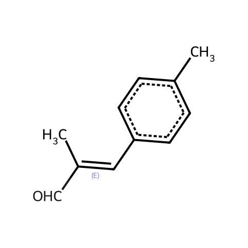 C/C(C=O)=C\c1ccc(C)cc1